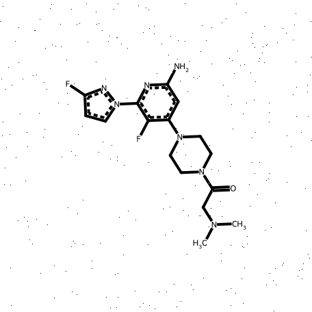 CN(C)CC(=O)N1CCN(c2cc(N)nc(-n3ccc(F)n3)c2F)CC1